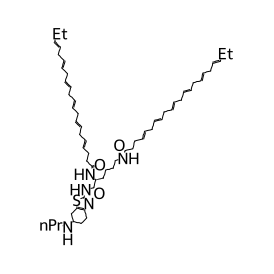 CCC=CCC=CCC=CCC=CCC=CCC=CCCC(=O)NCCCC[C@H](NC(=O)CCC=CCC=CCC=CCC=CCC=CCC=CCC)C(=O)Nc1nc2c(s1)C[C@H](NCCC)CC2